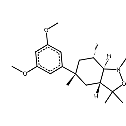 COc1cc(OC)cc([C@@]2(C)C[C@@H]3[C@@H]([C@@H](C)C2)N(C)OC3(C)C)c1